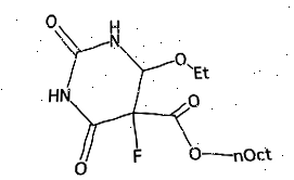 CCCCCCCCOC(=O)C1(F)C(=O)NC(=O)NC1OCC